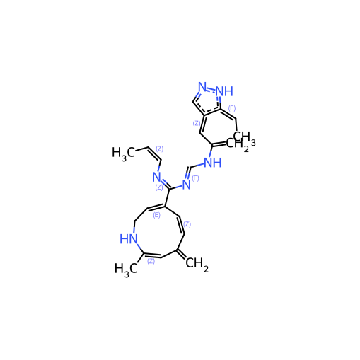 C=C1\C=C/C(C(=N/C=C\C)/N=C/NC(=C)/C=c2/cn[nH]/c2=C/C)=C\CN/C(C)=C\1